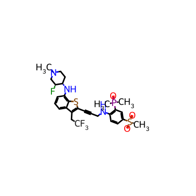 CN1CC[C@@H](Nc2cccc3c(CC(F)(F)F)c(C#CCNc4ccc(S(C)(=O)=O)cc4P(C)(C)=O)sc23)[C@@H](F)C1